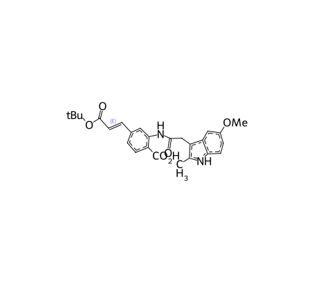 COc1ccc2[nH]c(C)c(CC(=O)Nc3cc(/C=C/C(=O)OC(C)(C)C)ccc3C(=O)O)c2c1